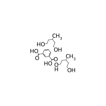 CC(CCO)CCO.CC(CCO)CCO.O=C(O)c1cccc(C(=O)O)c1